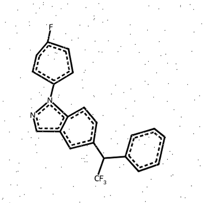 Fc1ccc(-n2ncc3cc(C(c4ccccc4)C(F)(F)F)ccc32)cc1